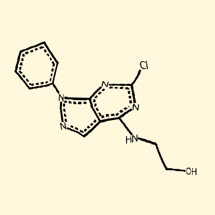 OCCNc1nc(Cl)nc2c1cnn2-c1ccccc1